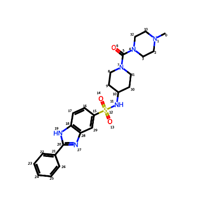 CN1CCN(C(=O)N2CCC(NS(=O)(=O)c3ccc4[nH]c(-c5ccccc5)nc4c3)CC2)CC1